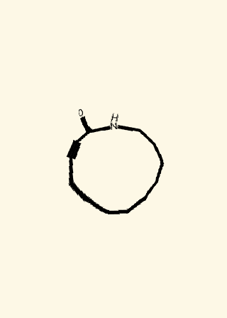 O=C1C#CCCCCCCCCCN1